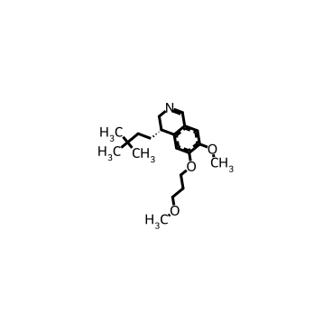 COCCCOc1cc2c(cc1OC)C=NC[C@H]2CCC(C)(C)C